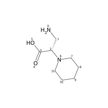 NC[C@@H](C(=O)O)N1CCCCC1